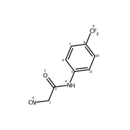 [C-]#[N+]CC(=O)Nc1ccc(C(F)(F)F)cc1